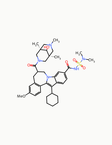 COc1ccc2c(c1)CC(C(=O)N1C[C@]3(C)CN(C)C[C@](C)(C1)C3O)Cn1c-2c(C2CCCCC2)c2ccc(C(=O)NS(=O)(=O)N(C)C)cc21